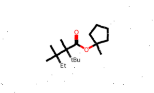 CCC(C)(C)C(C)(C(=O)OC1(C)CCCC1)C(C)(C)C